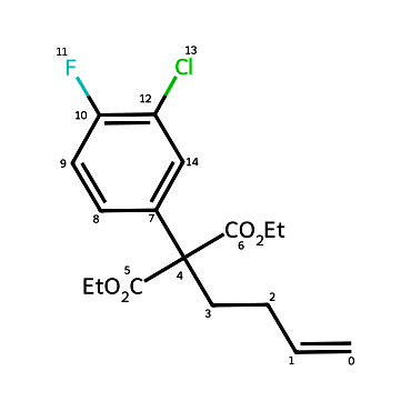 C=CCCC(C(=O)OCC)(C(=O)OCC)c1ccc(F)c(Cl)c1